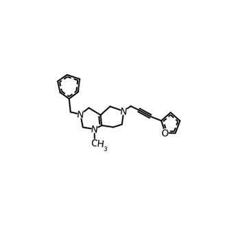 CN1CN(Cc2ccccc2)CC2=C1CCN(CC#Cc1ccco1)C2